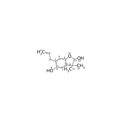 C=CCc1cc2c(cc1O)C(C)(C)C(O)O2